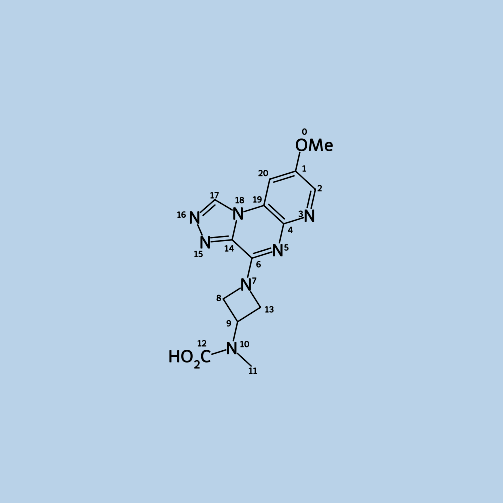 COc1cnc2nc(N3CC(N(C)C(=O)O)C3)c3nncn3c2c1